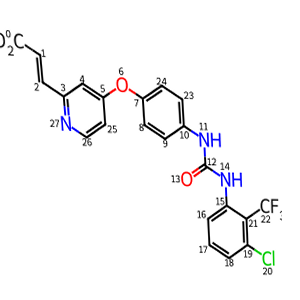 O=C(O)C=Cc1cc(Oc2ccc(NC(=O)Nc3cccc(Cl)c3C(F)(F)F)cc2)ccn1